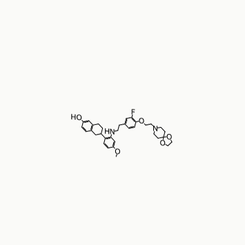 COc1ccc(C2CCc3cc(O)ccc3C2)c(NCCc2ccc(OCCN3CCC4(CC3)OCCO4)c(F)c2)c1